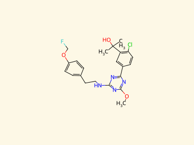 COc1nc(NCCc2ccc(OCF)cc2)nc(-c2ccc(Cl)c(C(C)(C)O)c2)n1